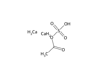 CC(=O)OS(=O)(=O)O.[CaH2].[CaH2]